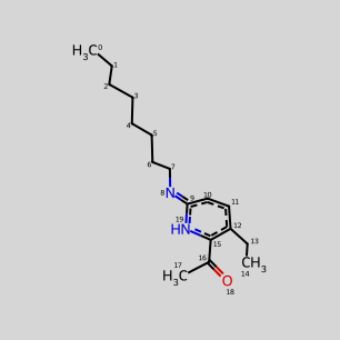 CCCCCCCCN=c1ccc(CC)c(C(C)=O)[nH]1